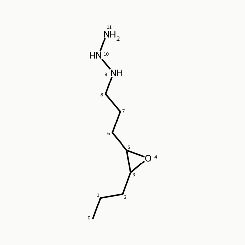 CCCC1OC1CCCNNN